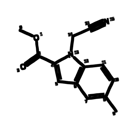 COC(=O)c1cc2cc(C)ccc2n1CC#N